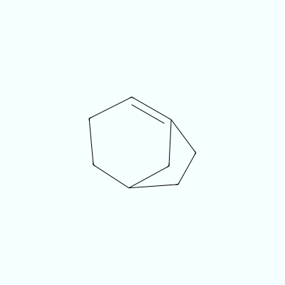 C1=C2CCC(CC1)C2